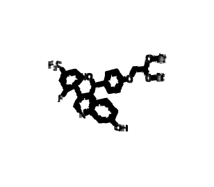 CCOC(COc1ccc(C(O)c2c(-c3ccc(C(F)(F)F)cc3F)cnc3cc(O)ccc23)cc1)OCC